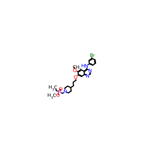 CCP(=O)(CN1CCC(CCCOc2cc3ncnc(Nc4cccc(Br)c4)c3cc2OC)CC1)OC